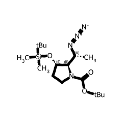 C[C@@H](N=[N+]=[N-])[C@@H]1[C@@H](O[Si](C)(C)C(C)(C)C)CCN1C(=O)OC(C)(C)C